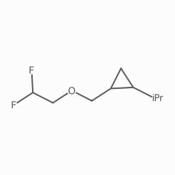 CC(C)C1CC1COCC(F)F